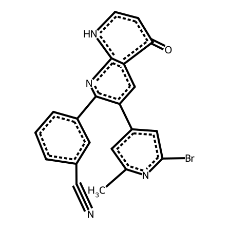 Cc1cc(-c2cc3c(=O)cc[nH]c3nc2-c2cccc(C#N)c2)cc(Br)n1